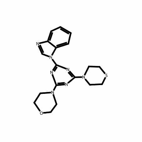 c1ccc2c(c1)ncn2-c1nc(N2CCOCC2)nc(N2CCSCC2)n1